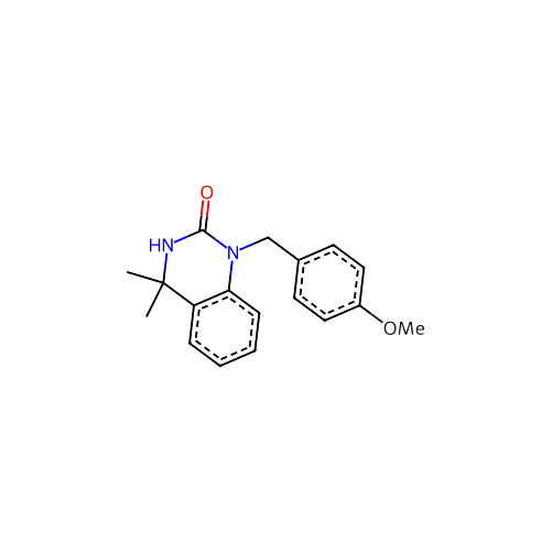 COc1ccc(CN2C(=O)NC(C)(C)c3ccccc32)cc1